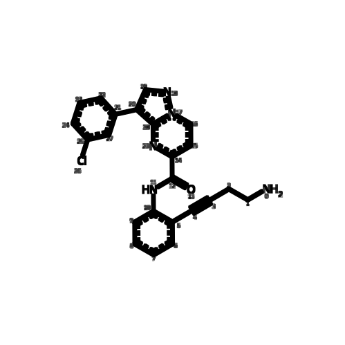 NCCC#Cc1ccccc1NC(=O)c1ccn2ncc(-c3cccc(Cl)c3)c2n1